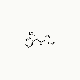 C[C@@H](NCc1ccccc1[N+](=O)[O-])C(=O)O